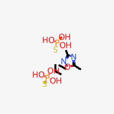 CC.CCC.Cc1noc(C)n1.OP(O)(O)=S.OP(O)(O)=S